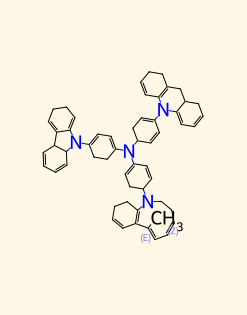 C/C1=C\C=C/CCN(C2C=CC(N(C3=CC=C(N4C5=CCCC=C5C5C=CC=CC54)CC3)C3C=CC(N4C5=CC=CCC5CC5=C4C=CCC5)=CC3)=CC2)C2=C1C=CCC2